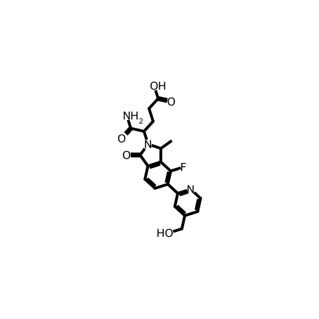 CC1c2c(ccc(-c3cc(CO)ccn3)c2F)C(=O)N1C(CCC(=O)O)C(N)=O